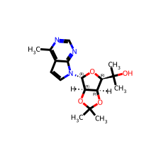 Cc1ncnc2c1ccn2[C@@H]1O[C@@H](C(C)(C)O)[C@H]2OC(C)(C)O[C@H]21